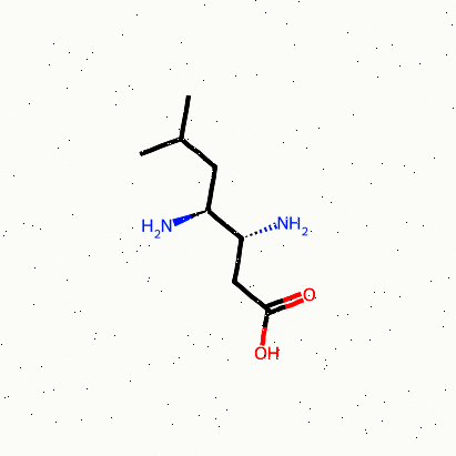 CC(C)C[C@H](N)[C@H](N)CC(=O)O